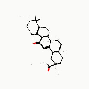 CC(=O)N[C@H]1CC[C@@]2(C)C(CC[C@]3(C)C2C(=O)C=C2C4C[C@@](C)(C(=O)N(C)O)CC[C@]4(C)CC[C@]23C)C1(C)C